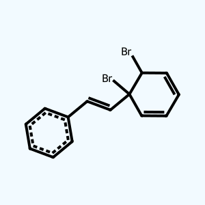 BrC1C=CC=CC1(Br)C=Cc1ccccc1